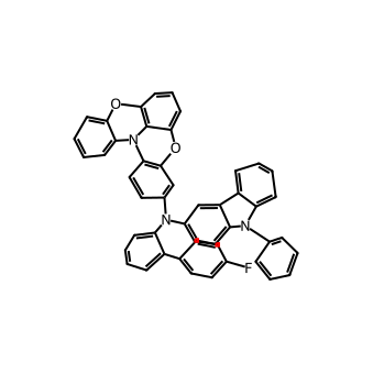 Fc1ccc(-c2ccccc2N(c2ccc3c(c2)Oc2cccc4c2N3c2ccccc2O4)c2ccc3c(c2)c2ccccc2n3-c2ccccc2)cc1